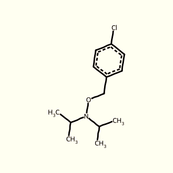 CC(C)N(OCc1ccc(Cl)cc1)C(C)C